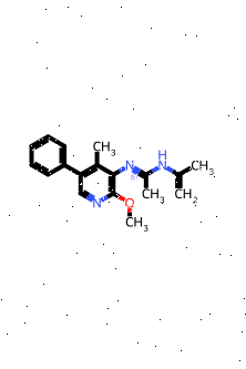 C=C(C)N/C(C)=N/c1c(OC)ncc(-c2ccccc2)c1C